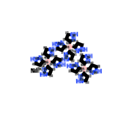 [Nd+3].c1cc([B-](c2cc[nH]n2)(c2cc[nH]n2)c2cc[nH]n2)n[nH]1.c1cc([B-](c2cc[nH]n2)(c2cc[nH]n2)c2cc[nH]n2)n[nH]1.c1cc([B-](c2cc[nH]n2)(c2cc[nH]n2)c2cc[nH]n2)n[nH]1